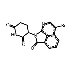 O=C1CCC(N2C(=O)c3cccc4c(Br)cnc2c34)C(=O)N1